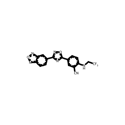 N#Cc1cc(-c2nc(-c3ccc4nonc4c3)no2)ccc1NCC(F)(F)F